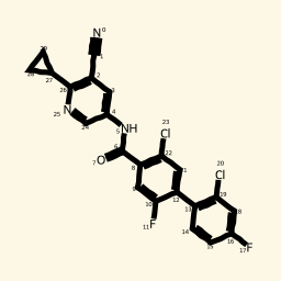 N#Cc1cc(NC(=O)c2cc(F)c(-c3ccc(F)cc3Cl)cc2Cl)cnc1C1CC1